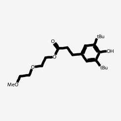 COCCOCCOC(=O)CCc1cc(C(C)(C)C)c(O)c(C(C)(C)C)c1